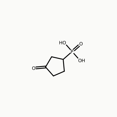 O=C1CCC(P(=O)(O)O)C1